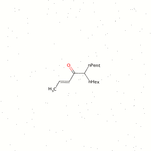 C/C=C/C(=O)C(CCCCC)CCCCCC